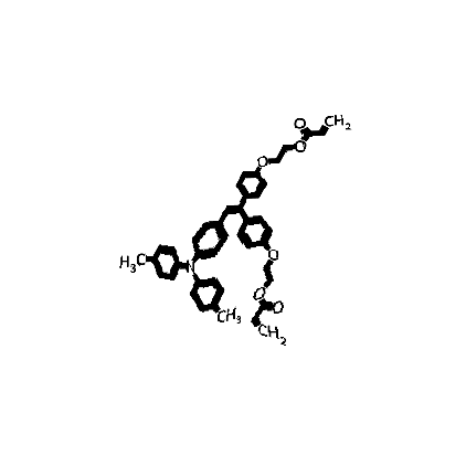 C=CC(=O)OCCOc1ccc(C(=Cc2ccc(N(c3ccc(C)cc3)c3ccc(C)cc3)cc2)c2ccc(OCCOC(=O)C=C)cc2)cc1